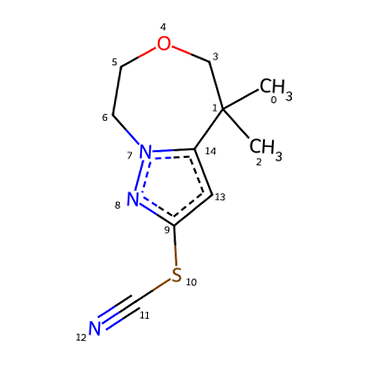 CC1(C)COCCn2nc(SC#N)cc21